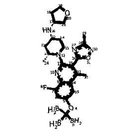 BC(B)(B)Oc1cc(F)c2nc(N3CC[C@@H](N[C@@H]4CCOC4)C[C@H]3C)c(-c3nc(C)no3)c(C)c2c1